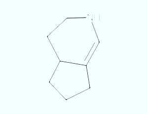 C1=C2CCCC2CCN1